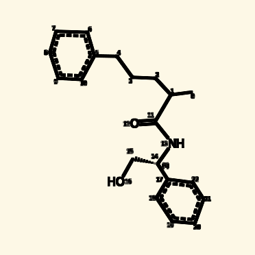 CC(CCCc1ccccc1)C(=O)N[C@@H](CO)c1ccccc1